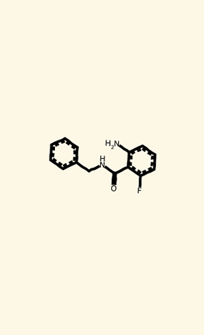 Nc1cccc(F)c1C(=O)NCc1ccccc1